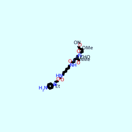 CCN(CCOC(=O)NCCCCCCNC(=O)/C=C/C(=C/N(C=O)C1C[C@@H](OC)C(CON=O)O1)C(=O)NC)c1ccc(N)cc1